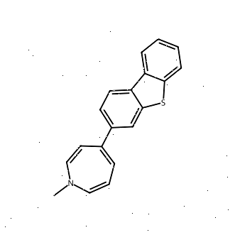 CN1C=CC=C(c2ccc3c(c2)sc2ccccc23)C=C1